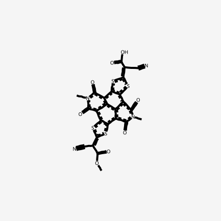 COC(=O)C(C#N)=c1sc2c(s1)c1c(=O)n(C)c(=O)c3c4sc(=C(C#N)C(=O)O)sc4c4c(=O)n(C)c(=O)c2c4c31